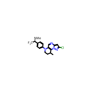 CN[C@@H](c1ccc(N2CCC(C)c3c2cnc2cc(Cl)nn32)cc1)C(F)(F)F